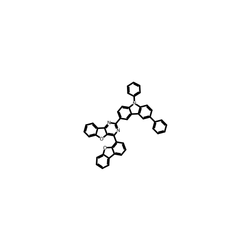 c1ccc(-c2ccc3c(c2)c2cc(-c4nc(-c5cccc6c5oc5ccccc56)c5oc6ccccc6c5n4)ccc2n3-c2ccccc2)cc1